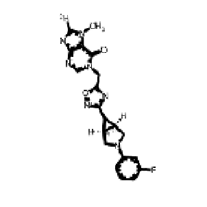 [2H]c1nc2ncn(Cc3nc(C4[C@H]5CN(c6cccc(F)c6)C[C@@H]45)no3)c(=O)c2n1C